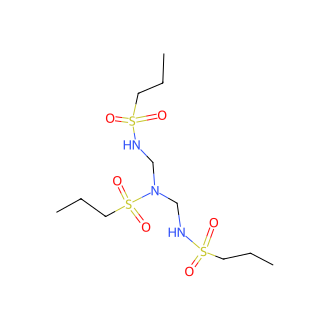 CCCS(=O)(=O)NCN(CNS(=O)(=O)CCC)S(=O)(=O)CCC